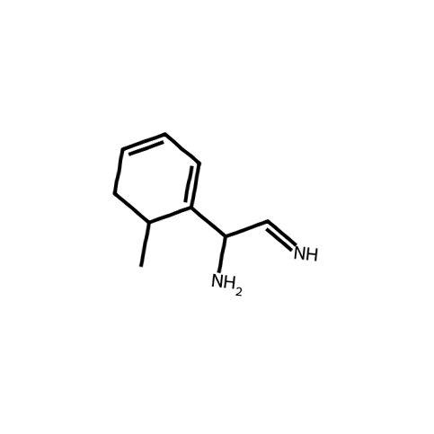 CC1CC=CC=C1C(N)C=N